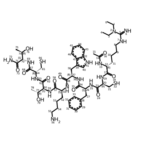 CCN(CC)C(=N)NCCCC[C@@H](NC(C)=O)C(=O)N[C@@H](CS)C(=O)N[C@@H](Cc1ccccc1)C(=O)N[C@H](Cc1c[nH]c2ccccc12)C(=O)N[C@@H](CCCCN)C(=O)N[C@H](C(=O)N[C@@H](CS)C(=O)N[C@H](C(N)=O)[C@@H](C)O)[C@@H](C)O